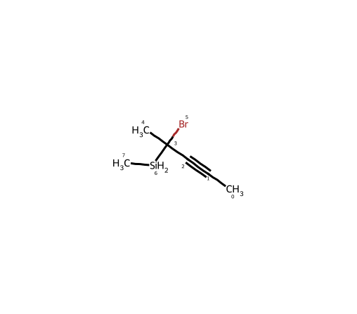 CC#CC(C)(Br)[SiH2]C